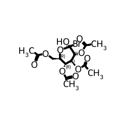 CC(=O)OC[C@H]1O[C@](O)(Br)[C@H](OC(C)=O)[C@@H](OC(C)=O)[C@@H]1OC(C)=O